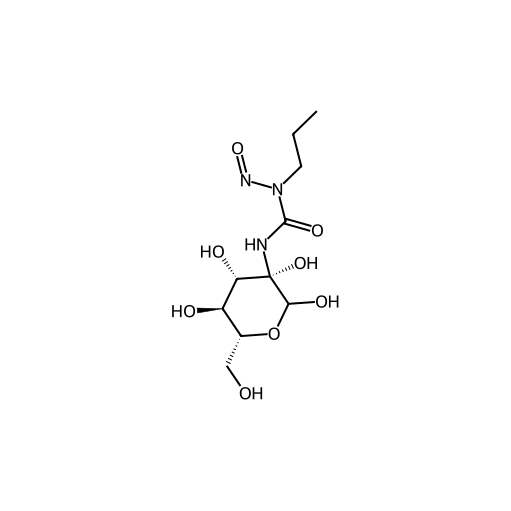 CCCN(N=O)C(=O)N[C@@]1(O)C(O)O[C@H](CO)[C@@H](O)[C@@H]1O